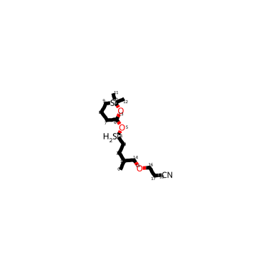 CC(CC[SiH2]OC1CCC[Si](C)(C)O1)COCCC#N